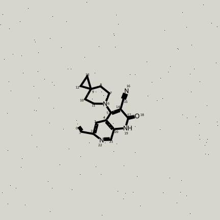 C=Cc1cc2c(N3CCC4(CC3)CC4)c(C#N)c(=O)[nH]c2cn1